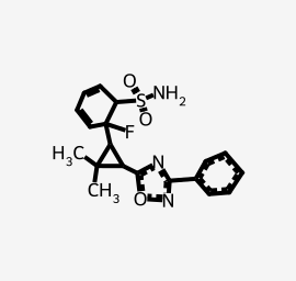 CC1(C)C(c2nc(-c3ccccc3)no2)C1C1(F)C=CC=CC1S(N)(=O)=O